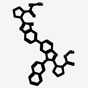 CC(C)(C)NC(=O)N1CCCC1c1nc2ccc(-c3ccc4nc(C5CCCN5C(=O)OC(C)(C)C)n(-c5ccc6ccccc6c5)c4c3)cc2[nH]1